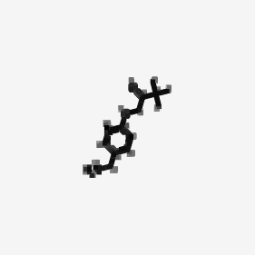 CC(C)(C)C(=O)COc1ccc(CN)cn1